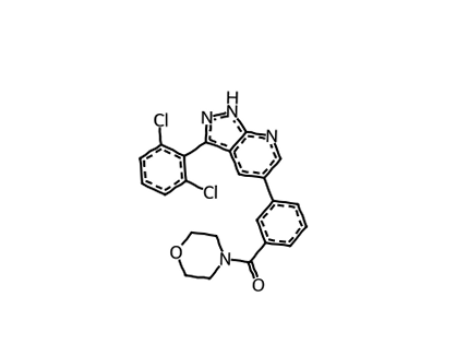 O=C(c1cccc(-c2cnc3[nH]nc(-c4c(Cl)cccc4Cl)c3c2)c1)N1CCOCC1